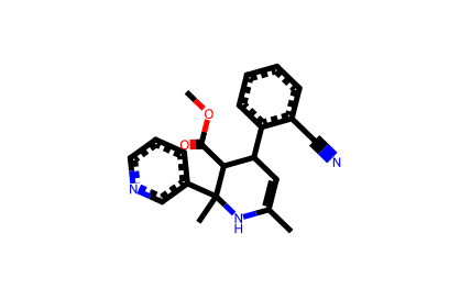 COC(=O)C1C(c2ccccc2C#N)C=C(C)NC1(C)c1cccnc1